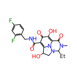 CCC1N(C)C(=O)c2c(O)c(=O)c(C(=O)NCc3ccc(F)cc3F)c3n2N1CC3O